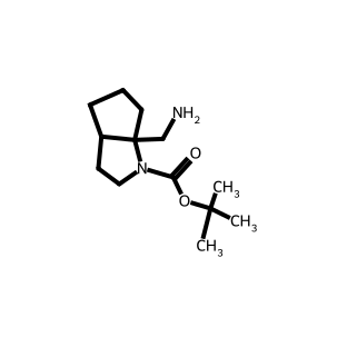 CC(C)(C)OC(=O)N1CCC2CCCC21CN